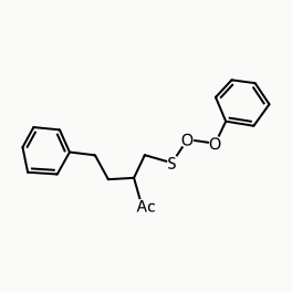 CC(=O)C(CCc1ccccc1)CSOOc1ccccc1